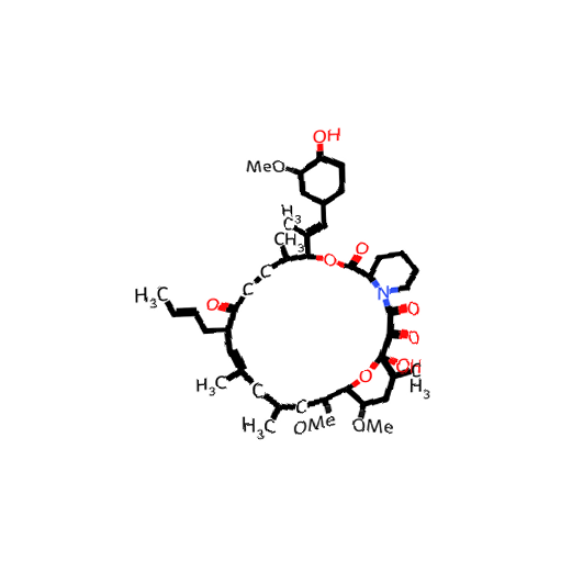 C/C=C/CC1/C=C(/C)CC(C)CC(OC)C2OC(O)(C(=O)C(=O)N3CCCCC3C(=O)OC(/C(C)=C/C3CCC(O)C(OC)C3)C(C)CCC1=O)C(C)CC2OC